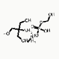 CN.NC(CO)(CO)CO.O=P(O)(O)OCO